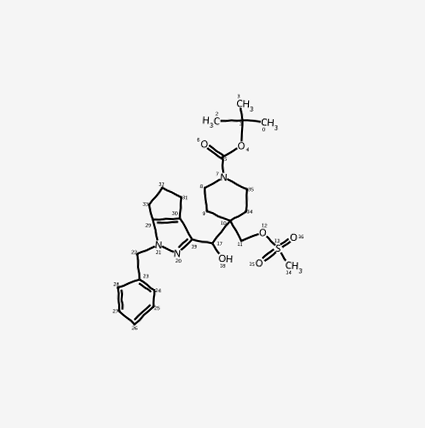 CC(C)(C)OC(=O)N1CCC(COS(C)(=O)=O)(C(O)c2nn(Cc3ccccc3)c3c2CCC3)CC1